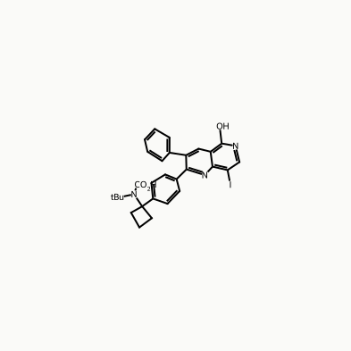 CC(C)(C)N(C(=O)O)C1(c2ccc(-c3nc4c(I)cnc(O)c4cc3-c3ccccc3)cc2)CCC1